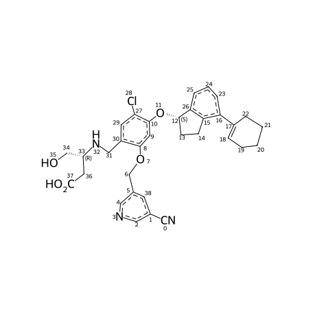 N#Cc1cncc(COc2cc(O[C@H]3CCc4c(C5=CCCCC5)cccc43)c(Cl)cc2CN[C@@H](CO)CC(=O)O)c1